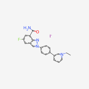 CC[n+]1cccc(-c2ccc(-n3cc4cc(F)cc(C(N)=O)c4n3)cc2)c1.[I-]